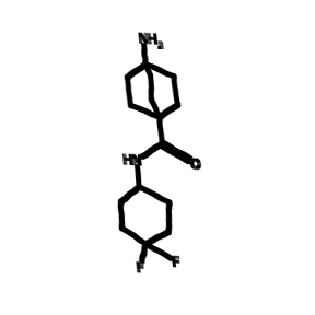 NC12CCC(C(=O)NC3CCC(F)(F)CC3)(CC1)CC2